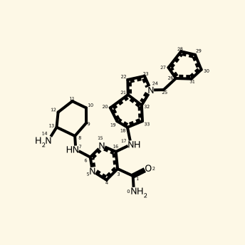 NC(=O)c1cnc(NC2CCCCC2N)nc1Nc1ccc2ccn(Cc3ccccc3)c2c1